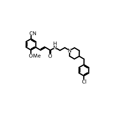 COc1ccc(C#N)cc1/C=C/C(=O)NCCN1CCC(Cc2ccc(Cl)cc2)CC1